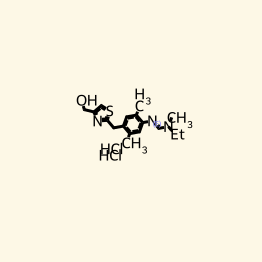 CCN(C)/C=N/c1cc(C)c(Cc2nc(CO)cs2)cc1C.Cl.Cl